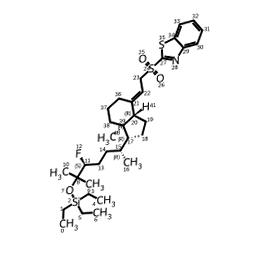 CC[Si](CC)(CC)OC(C)(C)[C@@H](F)CC[C@@H](C)[C@H]1CC[C@H]2C(=CCS(=O)(=O)c3nc4ccccc4s3)CCC[C@]12C